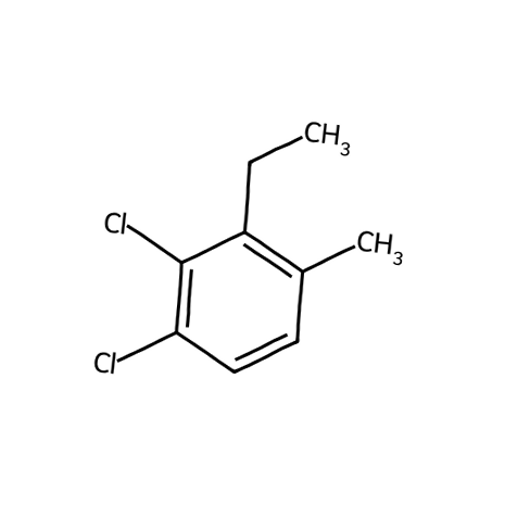 CCc1c(C)ccc(Cl)c1Cl